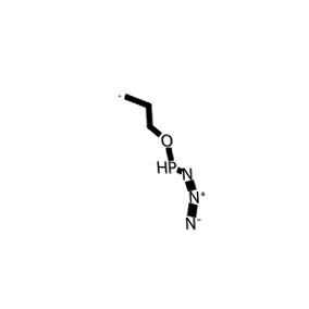 [CH2]CCOPN=[N+]=[N-]